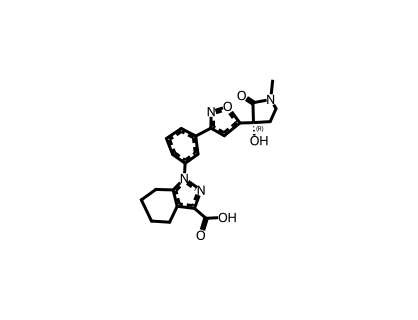 CN1CC[C@@](O)(c2cc(-c3cccc(-n4nc(C(=O)O)c5c4CCCC5)c3)no2)C1=O